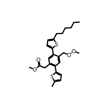 CCCCCCc1ccc(-c2cc(CC(=O)OC)c(-c3ccc(C)s3)cc2COOC)s1